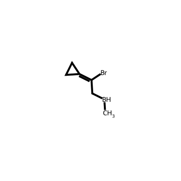 CBCC(Br)=C1CC1